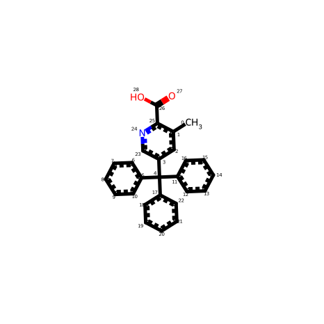 Cc1cc(C(c2ccccc2)(c2ccccc2)c2ccccc2)cnc1C(=O)O